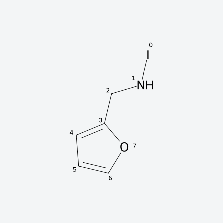 INCc1ccco1